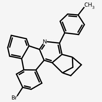 Cc1ccc(-c2nc3c4ccccc4c4cc(Br)ccc4c3c3c2C2CCC3C2)cc1